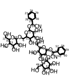 N#C[C@@H](OC1OC(COC2OC(CO)C(O)C(O)C2O)C(O)C(O)C1O)c1ccccc1.N#C[C@@H](O[C@@H]1O[C@H](CO)[C@@H](O)[C@H](O)[C@H]1O[C@@H]1O[C@H](CO)[C@@H](O)[C@H](O)[C@H]1O)c1ccccc1